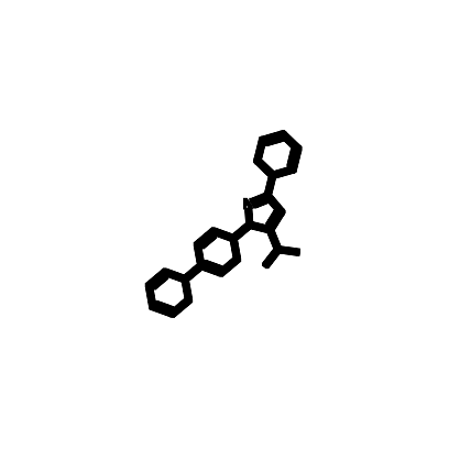 CC(C)C1=CC(C2C=CC=CC2)=NC1C1C=CC(C2C=CC=CC2)=CC1